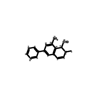 CN1C=Cc2cc(-c3cncnc3)nc(N)c2C1C=O